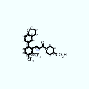 O=C(O)C1CCN(C(=O)/C=C/c2c(-c3ccc4c(c3)CCOO4)c[c]c(C(F)(F)F)c2C(F)(F)F)CC1